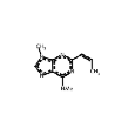 C/C=C\c1nc(NC)c2ncn(C)c2n1